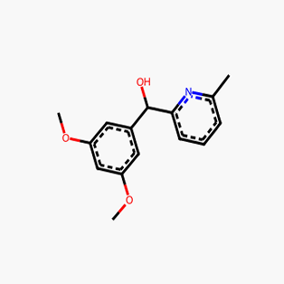 COc1cc(OC)cc(C(O)c2cccc(C)n2)c1